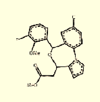 COC(=O)CC1OC(c2cccc(F)c2OC)c2cc(Cl)ccc2-n2cccc21